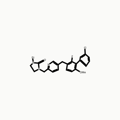 CCN1CCN(Cc2ccc(Cc3ccc(OC)c(-c4cccc(Cl)c4)c3F)cn2)C1=O